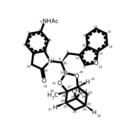 CC(=O)Nc1ccc2c(c1)N([C@@H](Cc1coc3ccccc13)B1O[C@@H]3C[C@@H]4C[C@@H](C4(C)C)[C@]3(C)O1)C(=O)C2